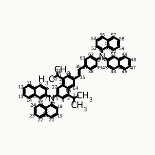 CC(C)c1cc(N(c2ccc3ccccc3c2)c2cccc3ccccc23)cc2c(C(C)C)cc(/C=C/c3ccc(N(c4ccc5ccccc5c4)c4cccc5ccccc45)cc3)cc12